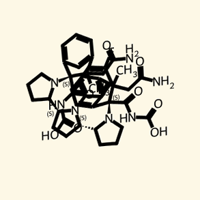 CC1(CC(N)=O)c2cccc(c2)[C@]1(C(=O)NC(=O)O)N1CCCC1[C@@H]1CC[C@@H](C2CCCN2[C@@]2(C(=O)NC(=O)O)c3cccc(c3)C2(C)CC(N)=O)N1c1ccc(F)cc1